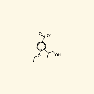 CCOc1ccc([N+](=O)[O-])cc1[C](C)CO